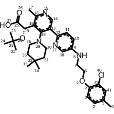 Cc1ccc(OCCNc2ccc(-c3cnc(C)c([C@H](OC(C)(C)C)C(=O)O)c3N3CCC(C)(C)CC3)nc2)c(Cl)c1